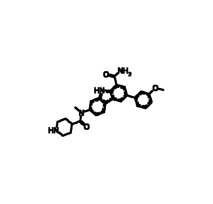 COc1cccc(-c2cc(C(N)=O)c3[nH]c4cc(N(C)C(=O)C5CCNCC5)ccc4c3c2)c1